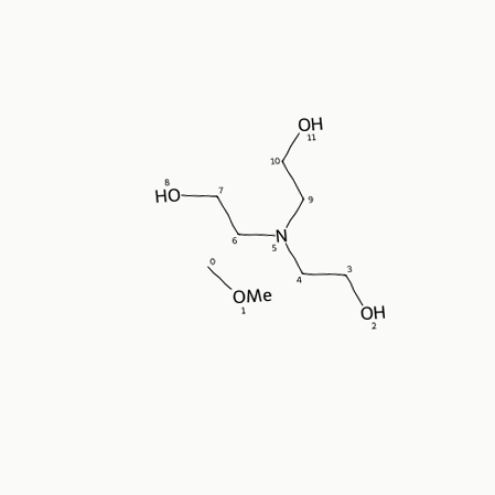 COC.OCCN(CCO)CCO